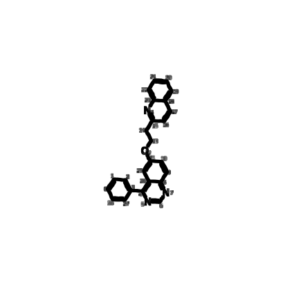 c1ccc(-c2ncnc3ccc(OCCc4ccc5ccccc5n4)cc23)cc1